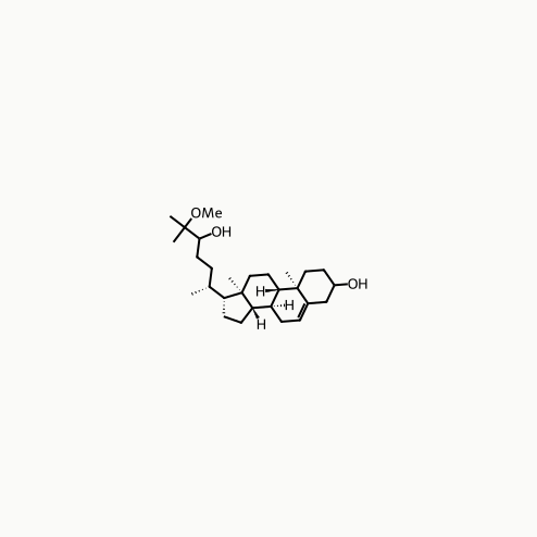 COC(C)(C)C(O)CC[C@@H](C)[C@H]1CC[C@H]2[C@@H]3CC=C4CC(O)CC[C@]4(C)[C@H]3CC[C@]12C